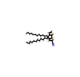 CCCCCCCCCCCCC1(CCCCCCCCCCCC)c2ccsc2-c2sc(C#N)cc21